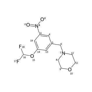 O=[N+]([O-])c1cc(CN2CCOCC2)cc(OC(F)F)c1